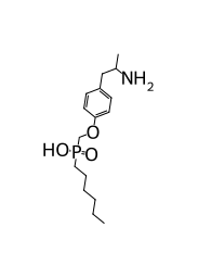 CCCCCC[P@@](=O)(O)COc1ccc(CC(C)N)cc1